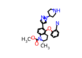 COC(=O)N1c2ccc(-c3cnn(C4CCNCC4)c3)c(Oc3ccccc3C#N)c2CC[C@@H]1C